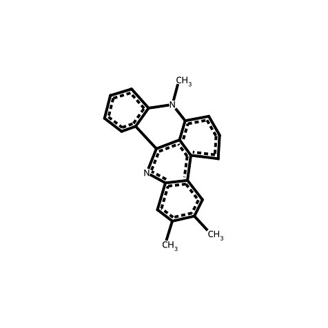 Cc1cc2nc3c4c(cccc4c2cc1C)N(C)c1ccccc1-3